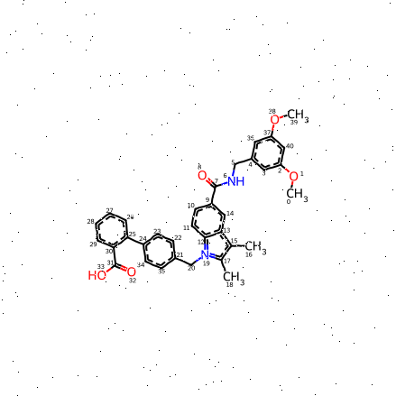 COc1cc(CNC(=O)c2ccc3c(c2)c(C)c(C)n3Cc2ccc(-c3ccccc3C(=O)O)cc2)cc(OC)c1